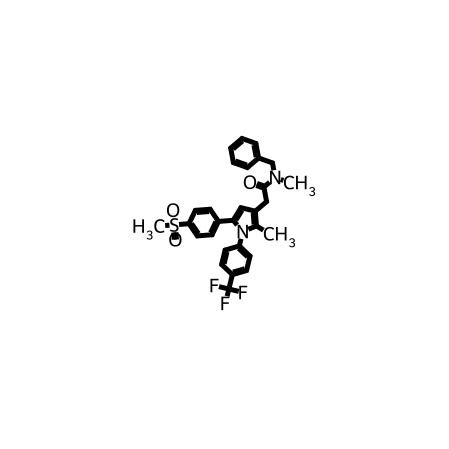 Cc1c(CC(=O)N(C)Cc2ccccc2)cc(-c2ccc(S(C)(=O)=O)cc2)n1-c1ccc(C(F)(F)F)cc1